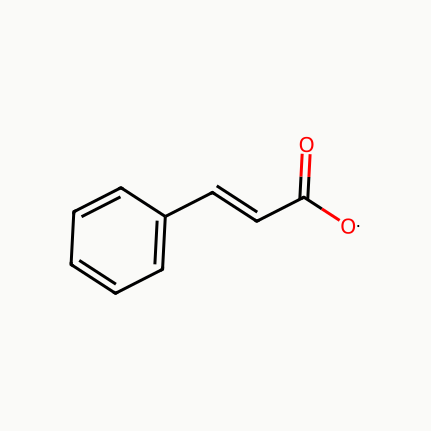 [O]C(=O)C=Cc1ccccc1